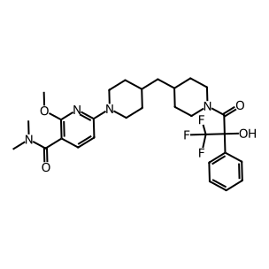 COc1nc(N2CCC(CC3CCN(C(=O)C(O)(c4ccccc4)C(F)(F)F)CC3)CC2)ccc1C(=O)N(C)C